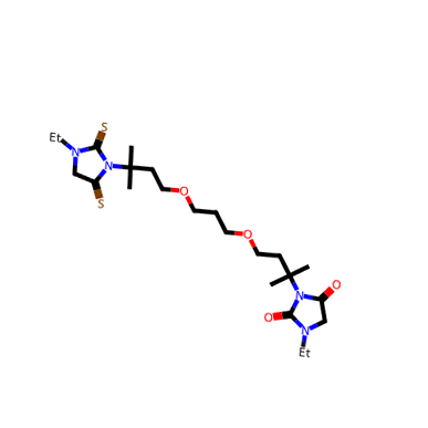 CCN1CC(=O)N(C(C)(C)CCOCCCOCCC(C)(C)N2C(=S)CN(CC)C2=S)C1=O